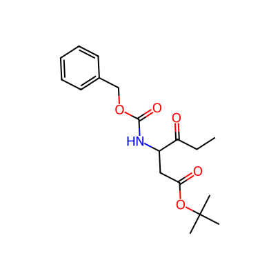 CCC(=O)C(CC(=O)OC(C)(C)C)NC(=O)OCc1ccccc1